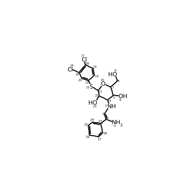 N/C(=C\NC1C(O)C(CO)OC(Sc2ccc(Cl)c(Cl)c2)C1O)c1ccccc1